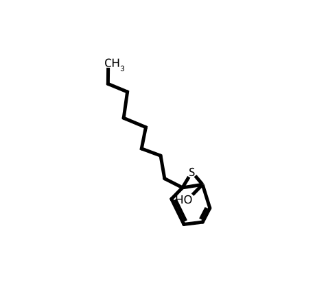 CCCCCCCCC12C=CC=CC1(O)S2